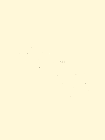 c1ccc2c(c1)Oc1ccc(Nc3ccc4c(c3)oc3ccccc34)cc1O2